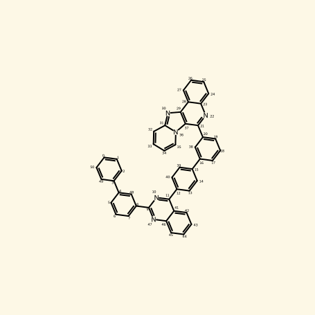 c1ccc(-c2cccc(-c3nc(-c4ccc(-c5cccc(-c6nc7ccccc7c7nc8ccccn8c67)c5)cc4)c4ccccc4n3)c2)cc1